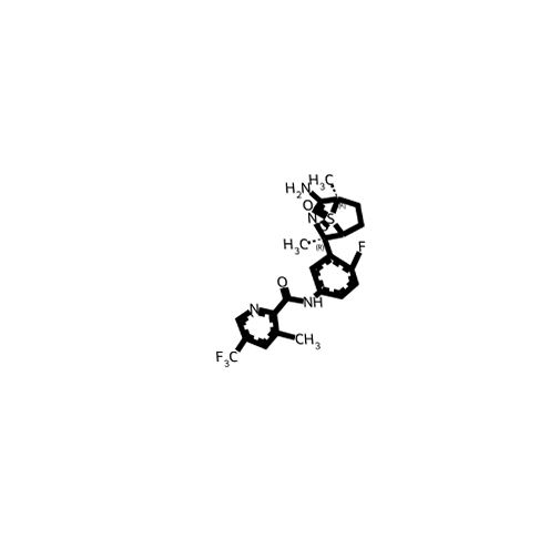 Cc1cc(C(F)(F)F)cnc1C(=O)Nc1ccc(F)c([C@@]2(C)N=C(N)[C@@]3(C)CCC2S3(=O)=O)c1